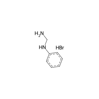 Br.NCNc1ccccc1